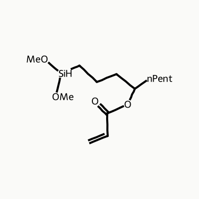 C=CC(=O)OC(CCCCC)CCC[SiH](OC)OC